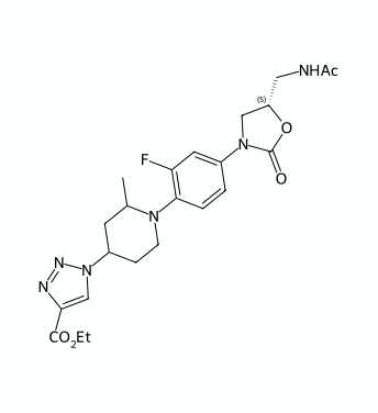 CCOC(=O)c1cn(C2CCN(c3ccc(N4C[C@H](CNC(C)=O)OC4=O)cc3F)C(C)C2)nn1